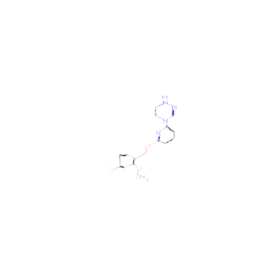 COc1cc(Cl)ccc1COc1cccc(N2C=NNCC2)n1